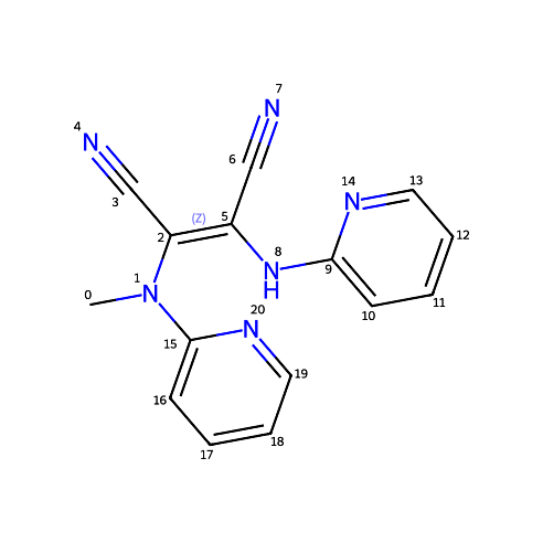 CN(/C(C#N)=C(/C#N)Nc1ccccn1)c1ccccn1